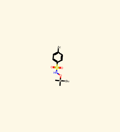 CC(=O)c1ccc(S(=O)(=O)NO[Si](C)(C)C(C)(C)C)cc1